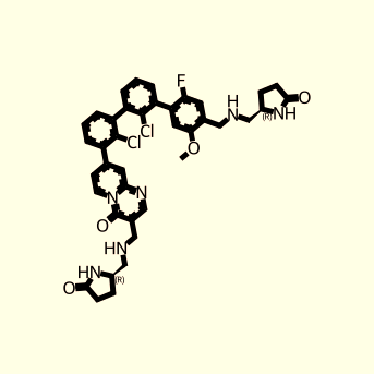 COc1cc(-c2cccc(-c3cccc(-c4ccn5c(=O)c(CNC[C@H]6CCC(=O)N6)cnc5c4)c3Cl)c2Cl)c(F)cc1CNC[C@H]1CCC(=O)N1